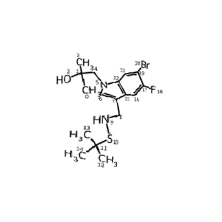 CC(C)(O)Cn1cc(CNSC(C)(C)C)c2cc(F)c(Br)cc21